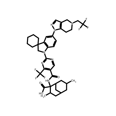 CC1CC2CC(C)C(NC(=O)c3cnc(N4CC5(CCCCC5)c5cc(-n6ncc7c6CCN(CC(F)(F)F)C7)ccc54)nc3C(F)(F)F)(C(=O)O)C(C1)C2